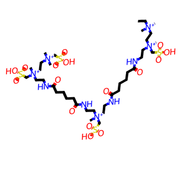 CC[N+](C)(C)CC[N+](C)(CCNC(=O)CCCCC(=O)NCC[N+](C)(CCNC(=O)CCCCC(=O)NCC[N+](C)(CC[N+](C)(C)CS(=O)(=O)O)CS(=O)(=O)O)CS(=O)(=O)O)CS(=O)(=O)O